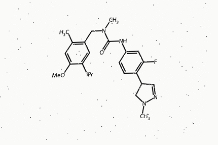 COc1cc(C)c(CN(C)C(=O)Nc2ccc(C3C=NN(C)C3)c(F)c2)cc1C(C)C